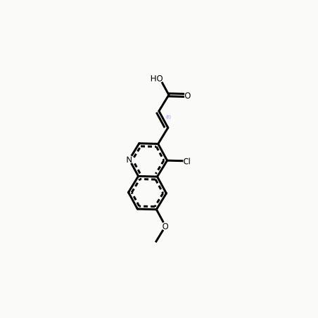 COc1ccc2ncc(/C=C/C(=O)O)c(Cl)c2c1